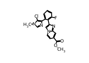 COC(=O)c1ccn2cc(-c3c(F)cccc3-c3ncn(C)c3Cl)nc2c1